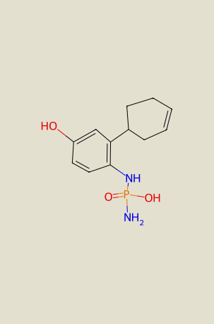 NP(=O)(O)Nc1ccc(O)cc1C1CC=CCC1